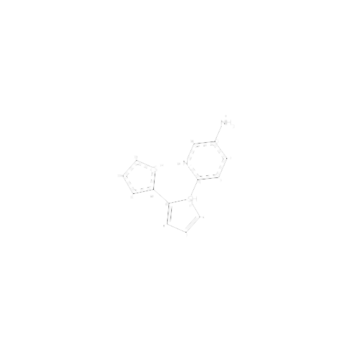 Nc1ccc([SH]2C=CC=C2c2cccs2)nc1